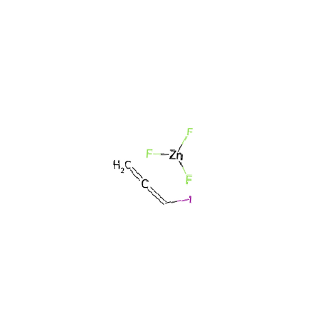 C=C=CI.[F][Zn]([F])[F]